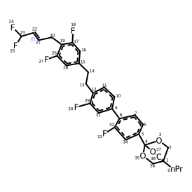 CCCC12COC(c3ccc(-c4ccc(CCc5cc(F)c(C/C=C/C(F)F)c(F)c5)c(F)c4)c(F)c3)(OC1)OC2